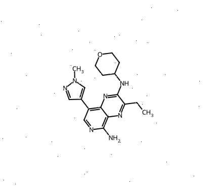 CCc1nc2c(N)ncc(-c3cnn(C)c3)c2nc1NC1CCOCC1